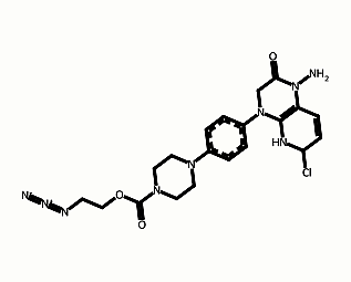 [N-]=[N+]=NCCOC(=O)N1CCN(c2ccc(N3CC(=O)N(N)C4=C3NC(Cl)C=C4)cc2)CC1